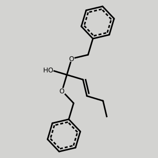 CCC=CC(O)(OCc1ccccc1)OCc1ccccc1